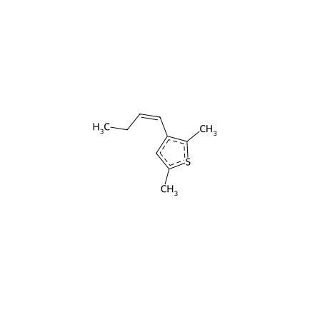 CC/C=C\c1cc(C)sc1C